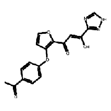 CC(=O)c1ccc(Oc2ccoc2C(=O)C=C(O)c2nc[nH]n2)cc1